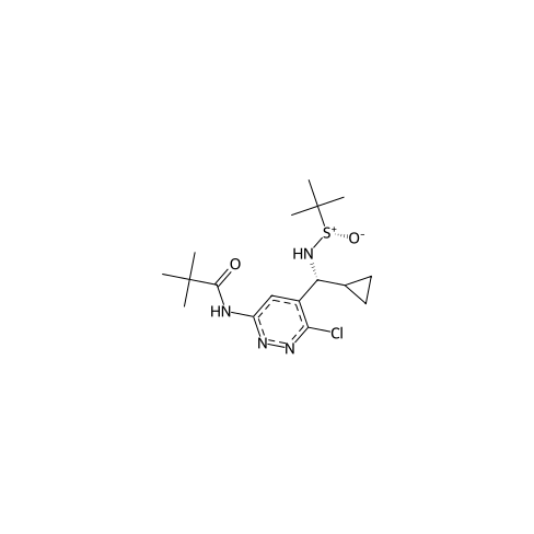 CC(C)(C)C(=O)Nc1cc([C@H](N[S@@+]([O-])C(C)(C)C)C2CC2)c(Cl)nn1